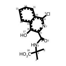 CC(C)(NC(=O)c1nc(Cl)c2ccccc2c1O)C(=O)O